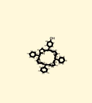 Oc1ccc(-c2c3nc(c(-c4ccccc4)c4ccc(s4)c(-c4ccccc4)c4nc(c(-c5ccccc5)c5ccc2s5)C=C4)CC3)cc1